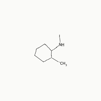 CC1CCCCC1NI